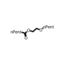 CCCCCOCCOC(=O)CCCCC